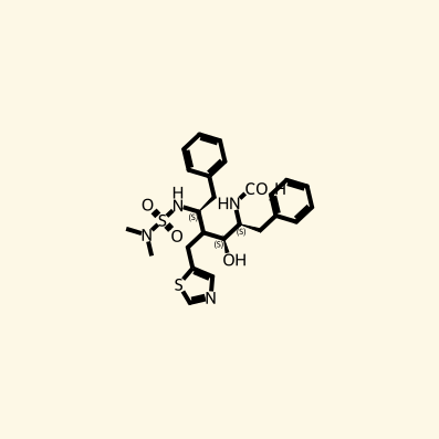 CN(C)S(=O)(=O)N[C@@H](Cc1ccccc1)C(Cc1cncs1)[C@H](O)[C@H](Cc1ccccc1)NC(=O)O